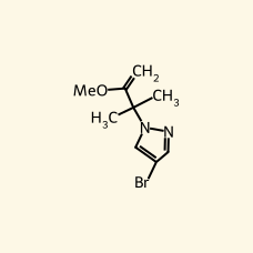 C=C(OC)C(C)(C)n1cc(Br)cn1